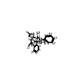 Cc1csc(N2NN(c3ccccc3)NC2(c2ccccc2)c2nc(C)cs2)n1